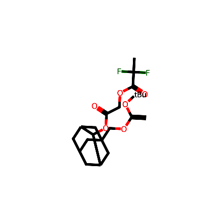 C=C(OCC12CC3CC(C1)C(OC(=O)COC(=O)C(C)(F)F)C(C3)C2)OC(C)(C)C